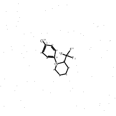 FC(F)(F)C1CCCCN1c1ccc(Cl)cc1